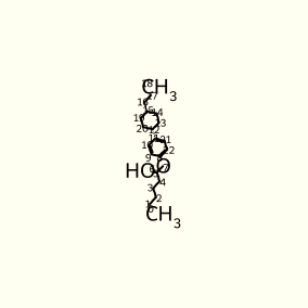 CCCCCC(O)Oc1ccc([C@H]2CC[C@H](CCC)CC2)cc1